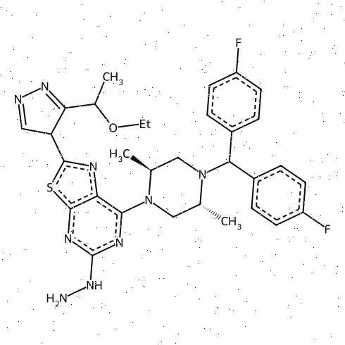 CCOC(C)C1=NN=CC1c1nc2c(N3C[C@@H](C)N(C(c4ccc(F)cc4)c4ccc(F)cc4)C[C@@H]3C)nc(NN)nc2s1